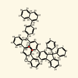 c1ccc(C2(c3ccccc3)c3ccccc3-c3ccc(-c4ccc(N(c5ccc(-c6cccc7ccccc67)cc5)c5ccccc5-c5ccc6c(c5)oc5ccccc56)cc4)cc32)cc1